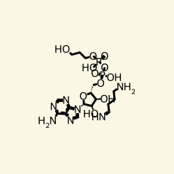 N=CCCCN.Nc1ncnc2c1ncn2[C@@H]1O[C@H](COP(=O)(O)OP(=O)(O)OCCCO)[C@@H](O)[C@H]1O